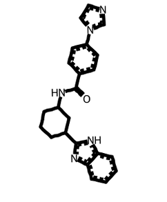 O=C(NC1CCCC(c2nc3ccccc3[nH]2)C1)c1ccc(-n2ccnc2)cc1